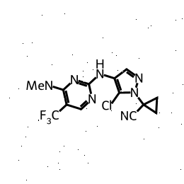 CNc1nc(Nc2cnn(C3(C#N)CC3)c2Cl)ncc1C(F)(F)F